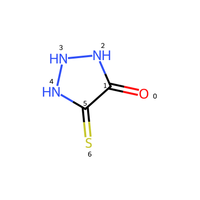 O=c1[nH][nH][nH]c1=S